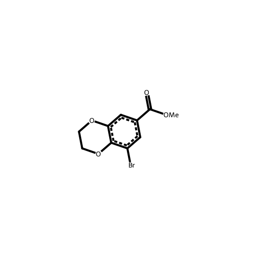 COC(=O)c1cc(Br)c2c(c1)OCCO2